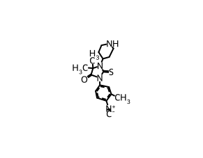 [C-]#[N+]c1ccc(N2C(=O)C(C)(C)N(C3CCNCC3)C2=S)cc1C